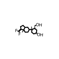 C[C@]12CCC([C@@]3(C)CC[C@H](O)C[C@@H]3CO)CC1CCC2=C(F)F